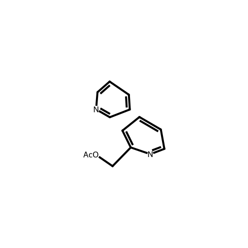 CC(=O)OCc1ccccn1.c1ccncc1